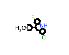 CN1CC=C(C2=Cc3cc(Cl)ccc3Nc3ccc(F)cc32)CC1